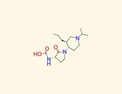 CCC[C@H]1CN(C(C)C)CC[C@@H]1N1CC[C@H](NC(=O)O)C1=O